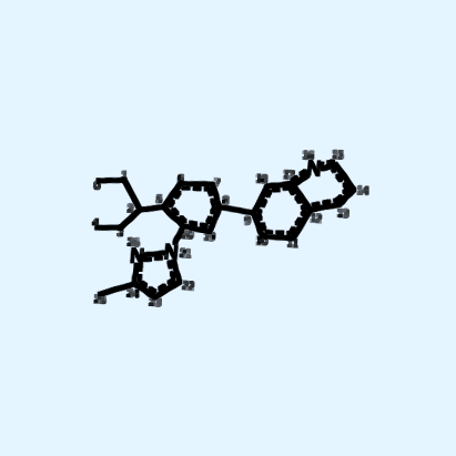 CCC(CC)c1ccc(-c2ccc3cccnc3c2)cc1-n1ccc(C)n1